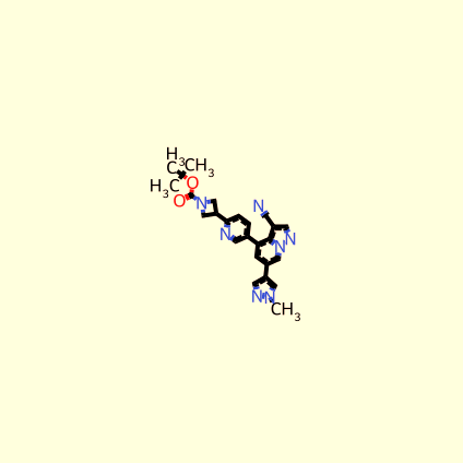 Cn1cc(-c2cc(-c3ccc(C4CN(C(=O)OC(C)(C)C)C4)nc3)c3c(C#N)cnn3c2)cn1